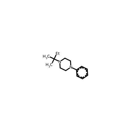 CCC(C)(C)N1CCN(c2ccccc2)CC1